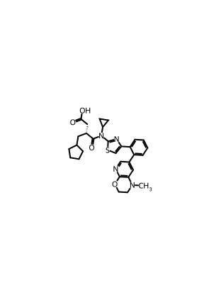 CN1CCOc2ncc(-c3ccccc3-c3csc(N(C(=O)[C@@H](CC(=O)O)CC4CCCC4)C4CC4)n3)cc21